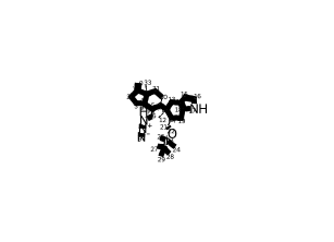 C=C1CC[C@H]2[C@H](CN=[N+]=[N-])[C@@H]([C@@]3(C)Cc4cc[nH]c4C[C@@H]3CO[Si](C)(C)C(C)(C)C)CC[C@]12C